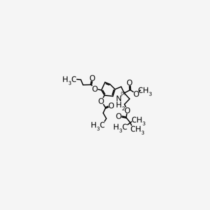 CCCC(=O)Oc1ccc(C[C@](N)(CCOC(=O)C(C)(C)C)C(=O)OC)cc1OC(=O)CCC